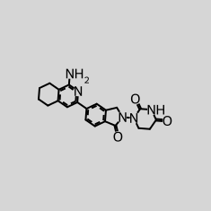 Nc1nc(-c2ccc3c(c2)CN(N2CCC(=O)NC2=O)C3=O)cc2c1CCCC2